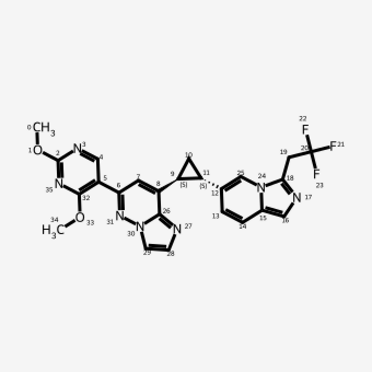 COc1ncc(-c2cc([C@H]3C[C@@H]3c3ccc4cnc(CC(F)(F)F)n4c3)c3nccn3n2)c(OC)n1